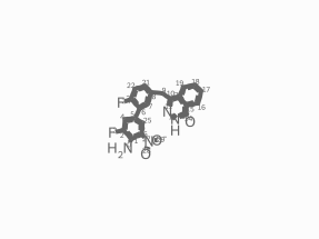 Nc1c(F)cc(-c2cc(Cc3n[nH]c(=O)c4ccccc34)ccc2F)cc1[N+](=O)[O-]